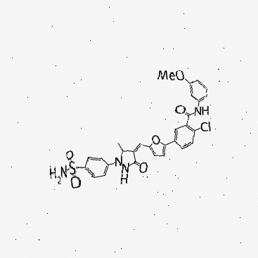 COc1cccc(NC(=O)c2cc(-c3ccc(/C=C4\C(=O)NN(c5ccc(S(N)(=O)=O)cc5)C4C)o3)ccc2Cl)c1